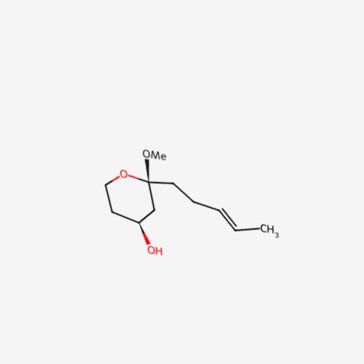 C/C=C/CC[C@]1(OC)C[C@@H](O)CCO1